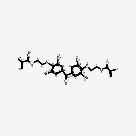 C=C(C)C(=O)OCCSc1c(Br)cc(C(=O)c2cc(Br)c(SCCOC(=O)C(=C)C)c(Br)c2)cc1Br